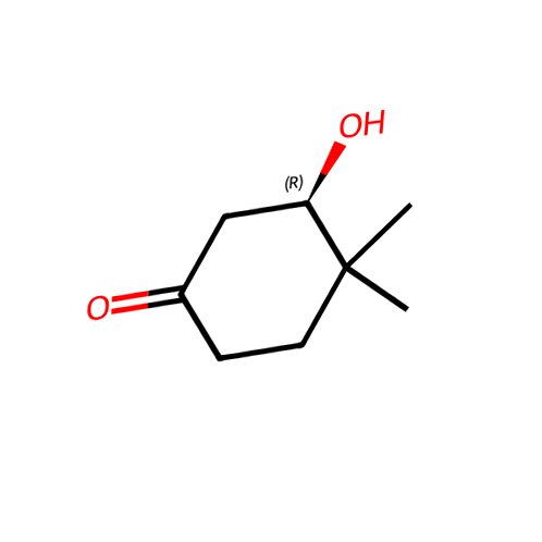 CC1(C)CCC(=O)C[C@H]1O